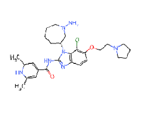 CC1=CC(C(=O)Nc2nc3ccc(OCCN4CCCC4)c(Cl)c3n2[C@@H]2CCCCN(N)C2)=CC(C)N1